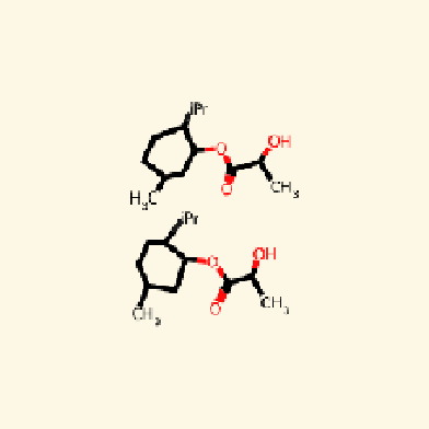 CC1CCC(C(C)C)C(OC(=O)C(C)O)C1.CC1CCC(C(C)C)C(OC(=O)C(C)O)C1